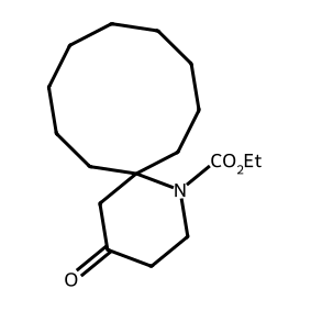 CCOC(=O)N1CCC(=O)CC12CCCCCCCCC2